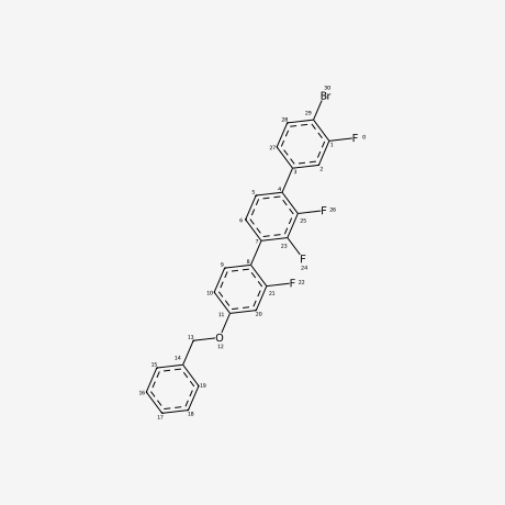 Fc1cc(-c2ccc(-c3ccc(OCc4ccccc4)cc3F)c(F)c2F)ccc1Br